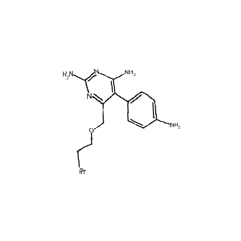 CC(C)CCOCc1nc(N)nc(N)c1-c1ccc(N)cc1